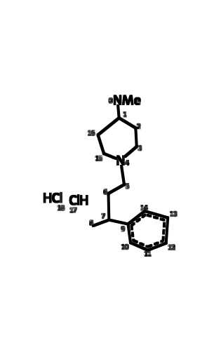 CNC1CCN(CCC(C)c2ccccc2)CC1.Cl.Cl